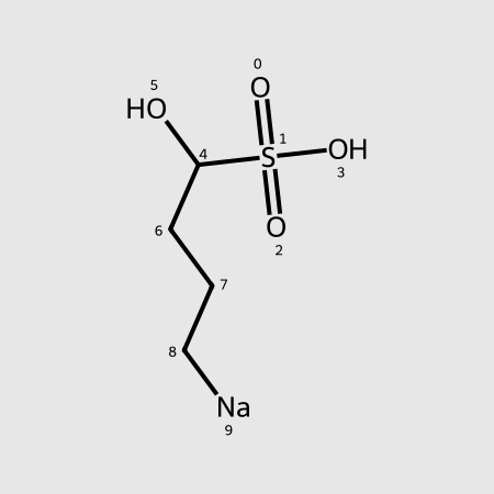 O=S(=O)(O)C(O)CC[CH2][Na]